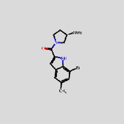 CCc1cc(C)cc2cc(C(=O)N3CC[C@@H](NC)C3)[nH]c12